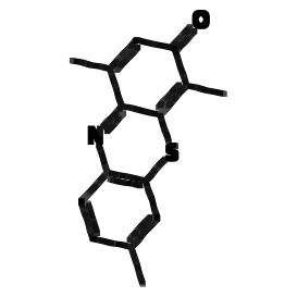 Cc1ccc2nc3c(C)cc(=O)c(C)c-3sc2c1